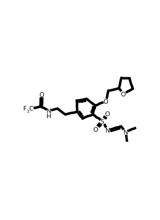 CN(C)C=NS(=O)(=O)c1cc(CCNC(=O)C(F)(F)F)ccc1OCC1CCCO1